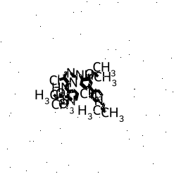 C[C](C)CN1CCC(c2cc(OC(C)C)c(Nc3ncc(Cl)c(Nc4cccnc4S(=O)(=O)C(C)C)n3)cc2C)CC1